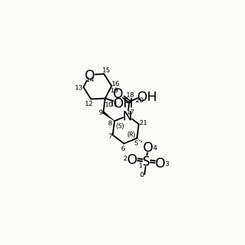 CS(=O)(=O)O[C@@H]1CC[C@@H](CC2(O)CCOCC2)N(C(=O)O)C1